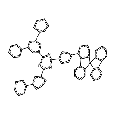 c1ccc(-c2cccc(-c3nc(-c4ccc(-c5cccc6c5-c5ccccc5C65c6ccccc6-c6ccccc65)cc4)nc(-c4cc(-c5ccccc5)cc(-c5ccccc5)c4)n3)c2)cc1